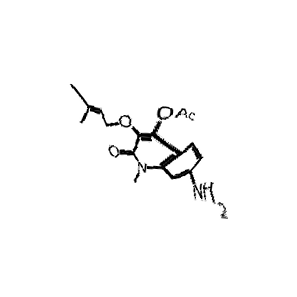 CC(=O)Oc1c(OCC=C(C)C)c(=O)n(C)c2cc(N)ccc12